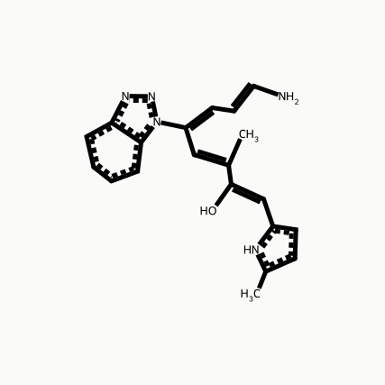 CC(=C\C(=C/C=C/N)n1nnc2ccccc21)/C(O)=C/c1ccc(C)[nH]1